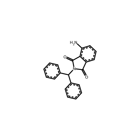 Nc1cccc2c1C(=O)N(C(c1ccccc1)c1ccccc1)C2=O